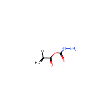 C=C(CC)C(=O)OC(=O)NN